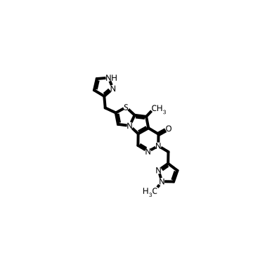 Cc1c2c(=O)n(Cc3ccn(C)n3)ncc2n2cc(Cc3cc[nH]n3)sc12